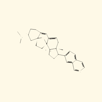 CN(C)[C@@H]1CCC2=CC3=CC[C@]4(C)C(c5ccc6ccncc6c5)CC[C@H]4[C@@]34CC[C@]2(C1)O4